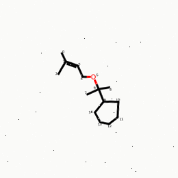 CC(C)=CCOC(C)(C)C1CCCCC1